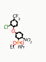 CCCP(=O)(OCC)c1cc(Oc2ccc(C(F)(F)F)cc2Cl)ccc1[N+](=O)[O-]